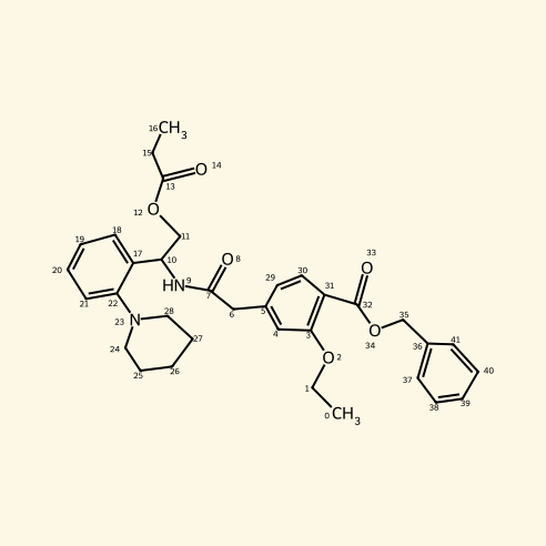 CCOc1cc(CC(=O)NC(COC(=O)CC)c2ccccc2N2CCCCC2)ccc1C(=O)OCc1ccccc1